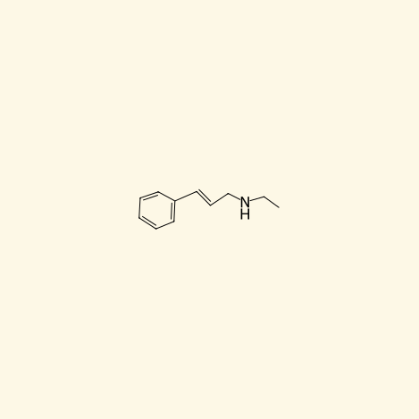 CCNC/C=C/c1ccccc1